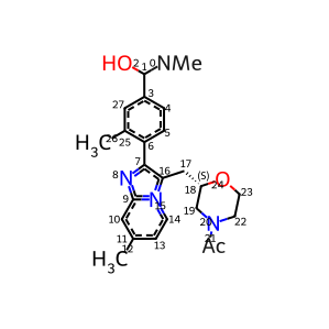 CNC(O)c1ccc(-c2nc3cc(C)ccn3c2C[C@H]2CN(C(C)=O)CCO2)c(C)c1